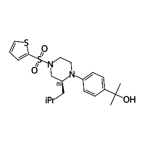 CC(C)C[C@H]1CN(S(=O)(=O)c2cccs2)CCN1c1ccc(C(C)(C)O)cc1